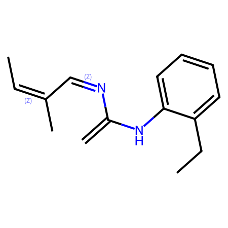 C=C(/N=C\C(C)=C/C)Nc1ccccc1CC